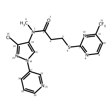 CN(C(=O)CCSc1nccc(C(F)(F)F)n1)c1cn(-c2cccnc2)nc1Cl